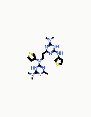 CC1N=C(N(C)C)NC(N(CCC2N=C(Nc3ccsc3)NC(N(C)C)=N2)c2ccsc2)=N1